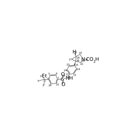 CCC(C)(C)c1ccc(S(=O)(=O)Nc2ccc([C@@]34C[C@@H]3CN(C(=O)O)C4)cc2)cc1